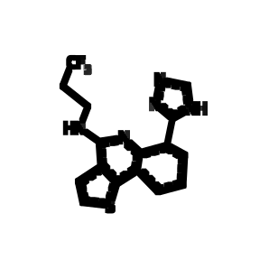 FC(F)(F)CCNc1nc2c(-c3nnc[nH]3)cccc2c2sccc12